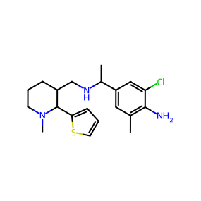 Cc1cc(C(C)NCC2CCCN(C)C2c2cccs2)cc(Cl)c1N